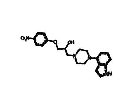 O=[N+]([O-])c1ccc(OCC(O)CN2CCN(c3cccc4[nH]ccc34)CC2)cc1